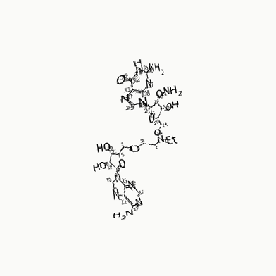 CCN(CCOC[C@H]1O[C@@H](n2cnc3c(N)ncnc32)[C@H](O)[C@@H]1O)OC[C@H]1O[C@@H](n2cnc3c(=O)[nH]c(N)nc32)[C@H](ON)[C@@H]1O